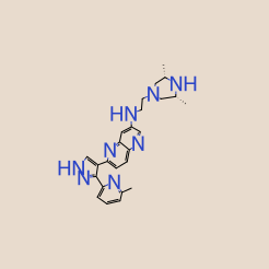 Cc1cccc(-c2n[nH]cc2-c2ccc3ncc(NCCN4C[C@@H](C)N[C@@H](C)C4)cc3n2)n1